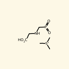 C[S+](C)C.O=C(O)CNCP(=O)=O